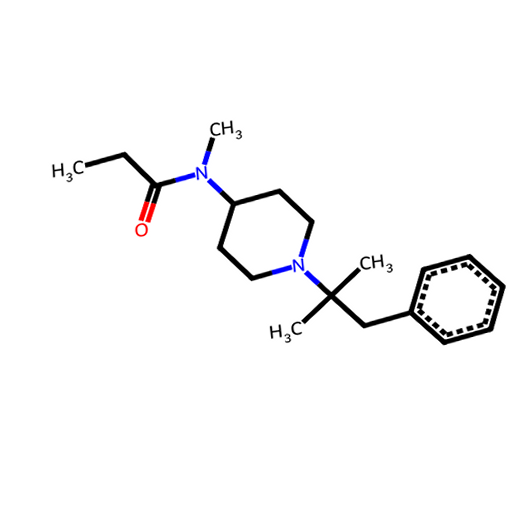 CCC(=O)N(C)C1CCN(C(C)(C)Cc2ccccc2)CC1